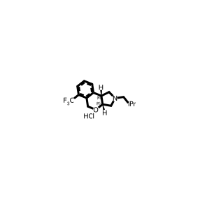 CC(C)CN1C[C@@H]2OCc3c(cccc3C(F)(F)F)[C@@H]2C1.Cl